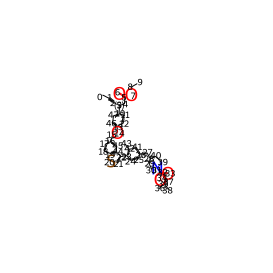 CC#C[C@@H](CC(=O)OCC)c1ccc(OCc2ccc3scc(-c4ccc(CC5CCN(C(=O)OC(C)(C)C)CC5)cc4C)c3c2)cc1